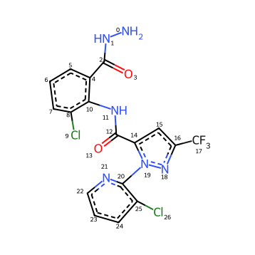 NNC(=O)c1cccc(Cl)c1NC(=O)c1cc(C(F)(F)F)nn1-c1ncccc1Cl